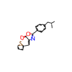 CC(C)Cc1ccc(C2=N/C(=C/c3cccs3)C(=O)O2)cc1